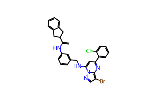 C=C(Nc1cccc(CNc2cc(-c3ccccc3Cl)nc3c(Br)cnn23)c1)C1Cc2ccccc2C1